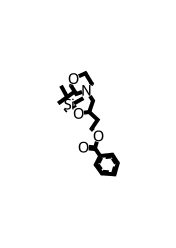 CC(C)(C)[Si](C)(C)OC(CCOC(=O)c1ccccc1)CN1CCOCC1